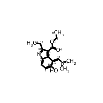 CCOC(=O)C1=c2c(ccc(O)c2=CN(C)C)N=C1CC